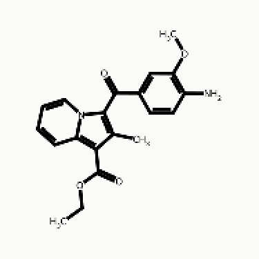 CCOC(=O)c1c(C)c(C(=O)c2ccc(N)c(OC)c2)n2ccccc12